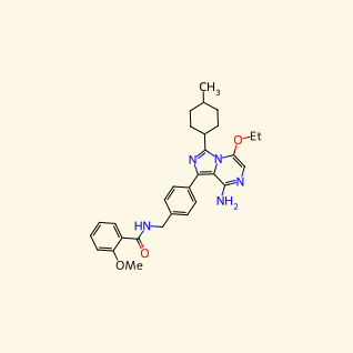 CCOc1cnc(N)c2c(-c3ccc(CNC(=O)c4ccccc4OC)cc3)nc(C3CCC(C)CC3)n12